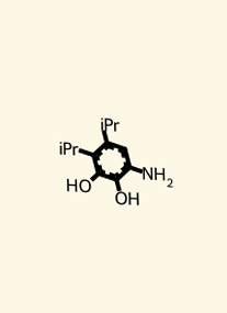 CC(C)c1cc(N)c(O)c(O)c1C(C)C